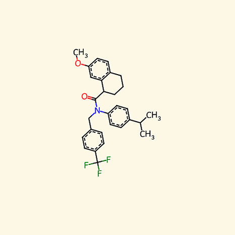 COc1ccc2c(c1)C(C(=O)N(Cc1ccc(C(F)(F)F)cc1)c1ccc(C(C)C)cc1)CCC2